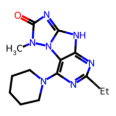 CCc1nc(N2CCCCC2)c2c(n1)[nH]c1nc(=O)n(C)n12